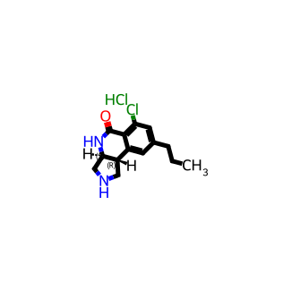 CCCc1cc(Cl)c2c(c1)[C@@H]1CNC[C@H]1NC2=O.Cl